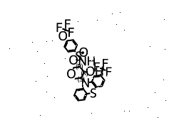 O=S(=O)(N[C@@H]1COC[C@H](N2c3ccccc3Sc3ccc(C(F)(F)F)cc32)[C@H]1O)c1ccc(OC(F)(F)F)cc1